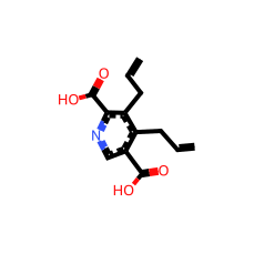 C=CCc1c(C(=O)O)cnc(C(=O)O)c1CC=C